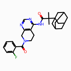 CC(C)(C(=O)Nc1ncnc2c1CCN(C(=O)c1ccccc1F)C2)C12CC3CC(CC(C3)C1)C2